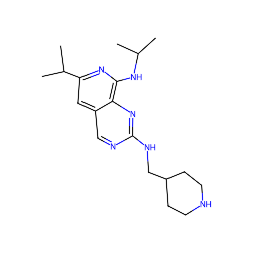 CC(C)Nc1nc(C(C)C)cc2cnc(NCC3CCNCC3)nc12